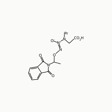 CC(ON=[N+]([O-])N(CC(=O)O)C(C)C)N1C(=O)c2ccccc2C1=O